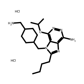 CCCCc1nc2c(N)nnc(OC(C)C)c2n1CC1CCC(CN)CC1.Cl.Cl